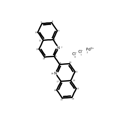 [Cl-].[Cl-].[Pd+2].c1ccc2nc(-c3ccc4ccccc4n3)ccc2c1